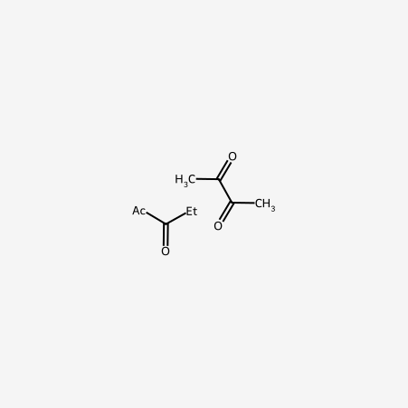 CC(=O)C(C)=O.CCC(=O)C(C)=O